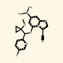 COC1(C(Oc2cc(B(O)O)cc3ncc(C#N)n23)c2ccc(F)cn2)CC1